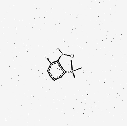 C[Si](C)(C)c1cccc(F)c1P(Cl)Cl